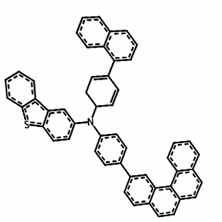 C1=CC(N(c2ccc(-c3ccc4ccc5ccc6ccccc6c5c4c3)cc2)c2ccc3sc4ccccc4c3c2)CC=C1c1cccc2ccccc12